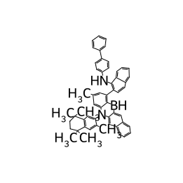 Cc1cc(-c2ccc3ccccc3c2Nc2ccc(-c3ccccc3)cc2)c2c(c1)N(c1cc3c(cc1C)C(C)(C)CCC3(C)C)c1cc3ccccc3cc1B2